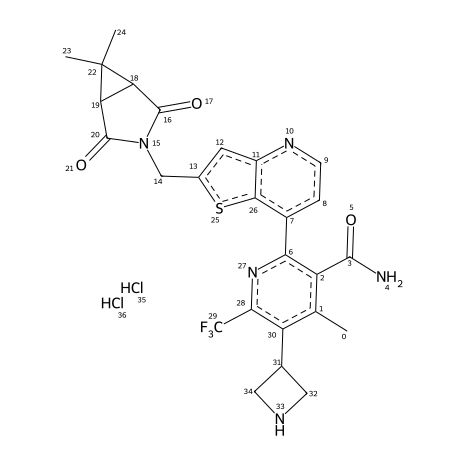 Cc1c(C(N)=O)c(-c2ccnc3cc(CN4C(=O)C5C(C4=O)C5(C)C)sc23)nc(C(F)(F)F)c1C1CNC1.Cl.Cl